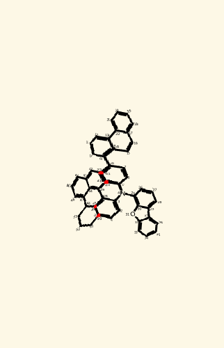 c1ccc(N(c2ccc(-c3cccc4c3ccc3ccccc34)cc2)c2cccc3c2oc2ccccc23)c(-c2cccc3cccc(C4CCCCC4)c23)c1